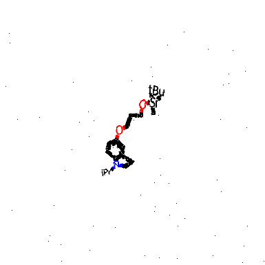 CC(C)n1ccc2cc(OCCCO[Si](C)(C)C(C)(C)C)ccc21